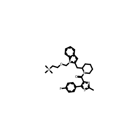 Cc1nc(C(=O)N2CCCCC2Cc2cc3ccccc3n2COCC[Si](C)(C)C)c(-c2ccc(F)cc2)s1